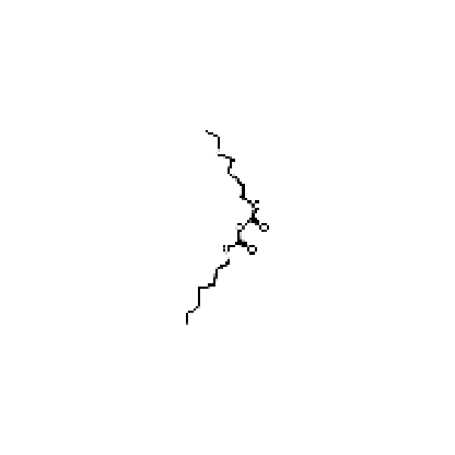 CCCCCCCOC(=O)OC(=O)OCCCCCCC